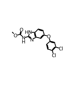 COC(=O)Nc1nc2cc(Oc3ccc(Cl)c(Cl)c3)ccc2[nH]1